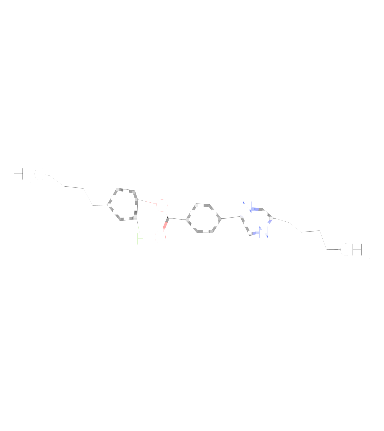 CCCCCc1ccc(OC(=O)c2ccc(-c3cnc(CCCCC)cn3)cc2)c(F)c1